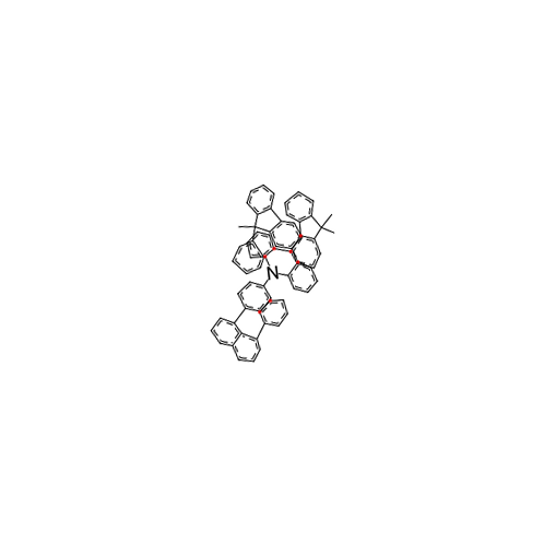 CC1(C)c2ccccc2-c2c(-c3ccccc3N(c3ccc(-c4cccc5cccc(-c6ccccc6)c45)cc3)c3ccccc3-c3ccc4c(c3)C(C)(c3ccccc3)c3ccccc3-4)cccc21